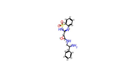 NC(CNC1OC1C1=Nc2ccccc2S(=O)(=O)N1)c1ccccc1